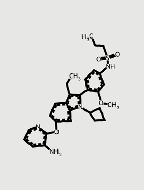 CCCS(=O)(=O)Nc1ccc(-c2c(CC)c3ccc(Oc4ncccc4N)cc3n2C2CCC2)c(OC)c1